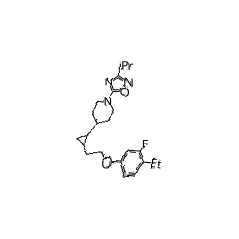 CCc1ccc(OCCC2CC2C2CCN(c3nc(C(C)C)no3)CC2)cc1F